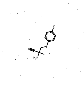 CC(N)(C#N)CSc1ccc(Cl)cc1